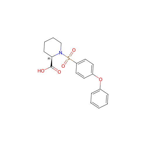 O=C(O)[C@H]1CCCCN1S(=O)(=O)c1ccc(Oc2ccccc2)cc1